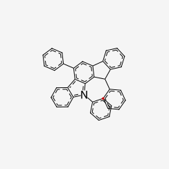 c1ccc(-c2cc3c(c4c2c2ccccc2n4-c2ccccc2)C(c2ccccc2)c2ccccc2-3)cc1